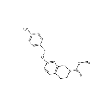 Cc1ccc(COc2ccc3c(c2)CN(C(=O)OC(C)(C)C)CC3)cc1